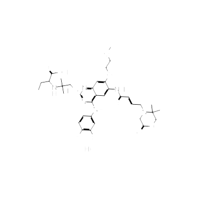 CCC(NC(C)(C)CO)C(=O)O.COCCOc1cc2ncnc(Nc3ccc(F)c(Cl)c3)c2cc1NC(=O)/C=C/CN1CC(=O)OCC1(C)C.Cl